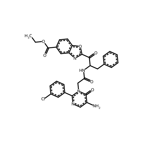 CCOC(=O)c1ccc2oc(C(=O)C(Cc3ccccc3)NC(=O)Cn3c(-c4cccc(Cl)c4)ncc(N)c3=O)nc2c1